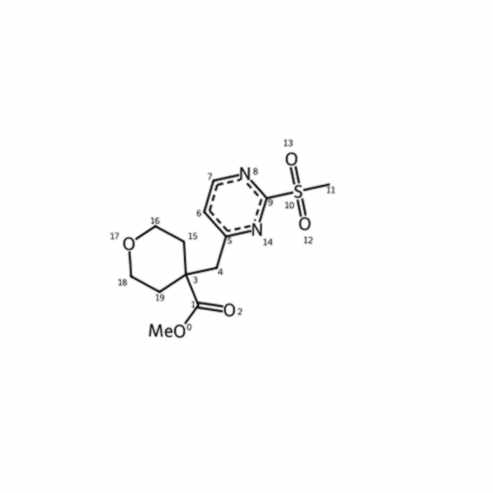 COC(=O)C1(Cc2ccnc(S(C)(=O)=O)n2)CCOCC1